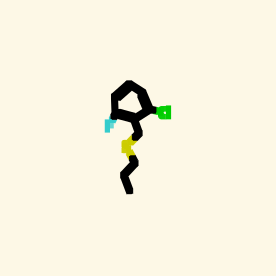 CCCSCc1c(F)cccc1Cl